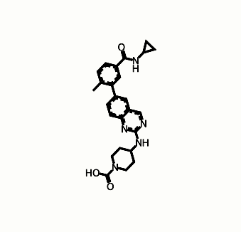 Cc1ccc(C(=O)NC2CC2)cc1-c1ccc2nc(NC3CCN(C(=O)O)CC3)ncc2c1